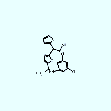 O=C(O)C(Nc1cc(Cl)cc(Cl)c1)c1ccc(C(CS)c2ccco2)o1